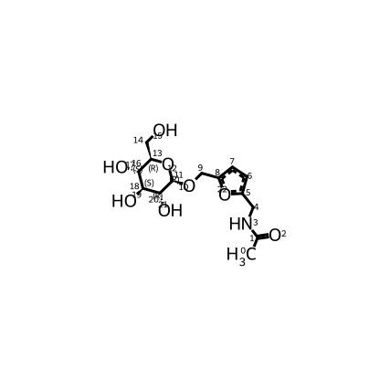 CC(=O)NCc1ccc(CO[C@@H]2O[C@H](CO)[C@@H](O)[C@H](O)[C@H]2O)o1